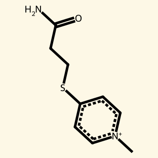 C[n+]1ccc(SCCC(N)=O)cc1